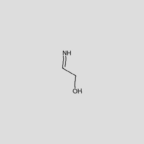 N=CCO